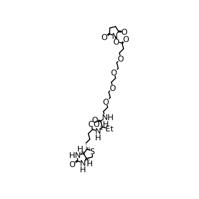 CCC(NC(CCC[C@@H]1SC[C@@H]2NC(=O)N[C@@H]21)C(=O)O)C(=O)NCCOCCOCCOCCOCCC(=O)ON1C(=O)CCC1=O